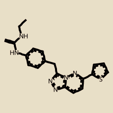 C=C(NCC)Nc1ccc(Cc2nnc3ccc(-c4cccs4)nn23)cc1